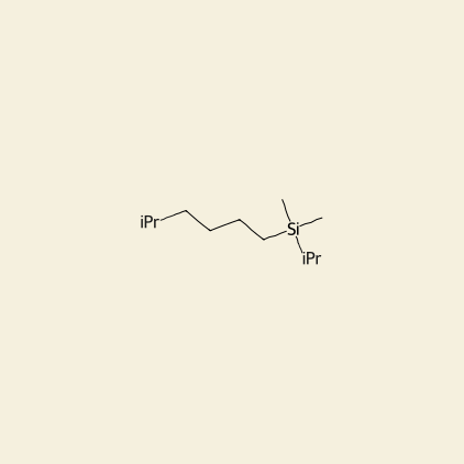 CC(C)CCCC[Si](C)(C)C(C)C